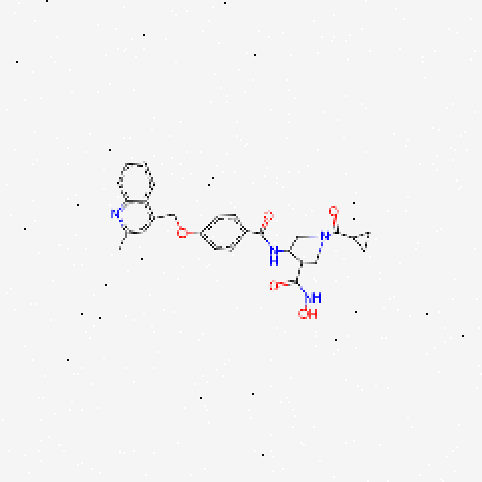 Cc1cc(COc2ccc(C(=O)NC3CN(C(=O)C4CC4)CC3C(=O)NO)cc2)c2ccccc2n1